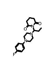 CCC(N1CCN(c2ccc(F)cc2)CC1)N1C(=O)CCCC1=O